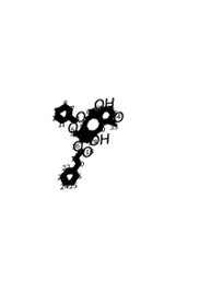 C=C1C(OC(=O)c2ccccc2)C2=C(C)[C@@H](OC(=O)CCc3ccccc3)CC(O)(CC3C4COC4CC(O)C13C)C2(C)C